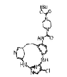 CC(C)(C)OC(=O)N1CCN(C(=O)Nc2ccc3cc2CCC2C=NC=C(C2)Nc2ncc(Cl)c(n2)N3)CC1